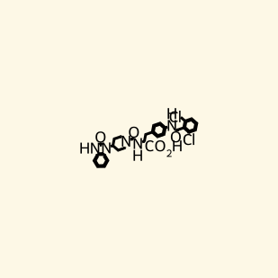 O=C(Nc1ccc(CC(NC(=O)N2CCC(n3c(=O)[nH]c4ccccc43)CC2)C(=O)O)cc1)c1c(Cl)cccc1Cl